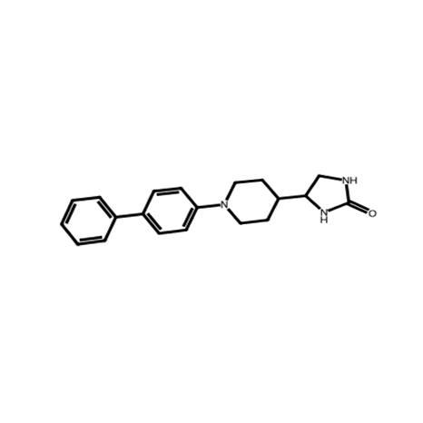 O=C1NCC(C2CCN(c3ccc(-c4ccccc4)cc3)CC2)N1